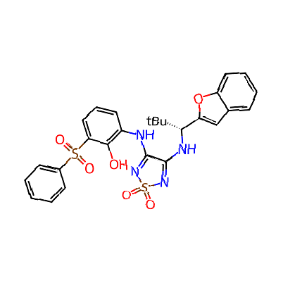 CC(C)(C)[C@@H](NC1=NS(=O)(=O)N=C1Nc1cccc(S(=O)(=O)c2ccccc2)c1O)c1cc2ccccc2o1